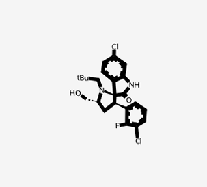 CC(C)(C)CN1[C@@H](CO)C[C@H](c2cccc(Cl)c2F)[C@]12C(=O)Nc1cc(Cl)ccc12